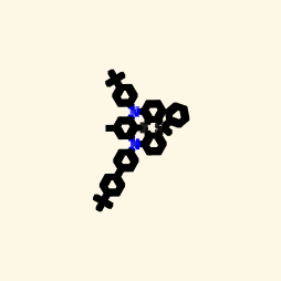 Cc1cc2c3c(c1)N(c1ccc(C(C)(C)C)cc1)c1cccc4c1B3c1c(cccc1[Si]4(C)c1ccccc1)N2c1ccc(-c2ccc(C(C)(C)C)cc2)cc1